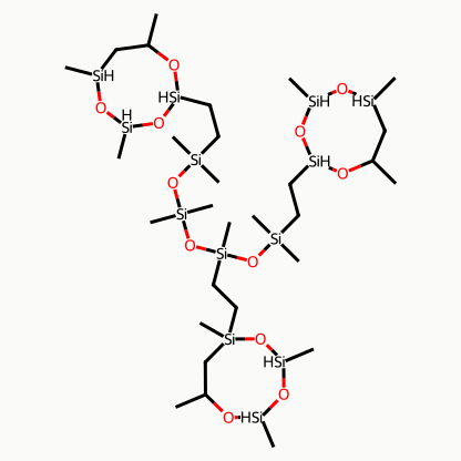 CC1C[Si](C)(CC[Si](C)(O[Si](C)(C)CC[SiH]2OC(C)C[SiH](C)O[SiH](C)O2)O[Si](C)(C)O[Si](C)(C)CC[SiH]2OC(C)C[SiH](C)O[SiH](C)O2)O[SiH](C)O[SiH](C)O1